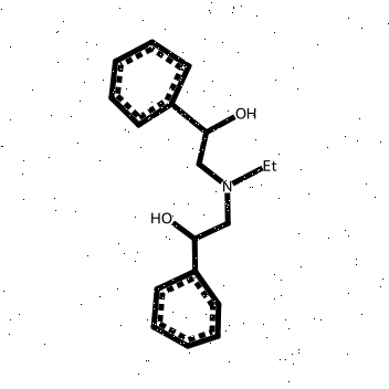 CCN(CC(O)c1ccccc1)CC(O)c1ccccc1